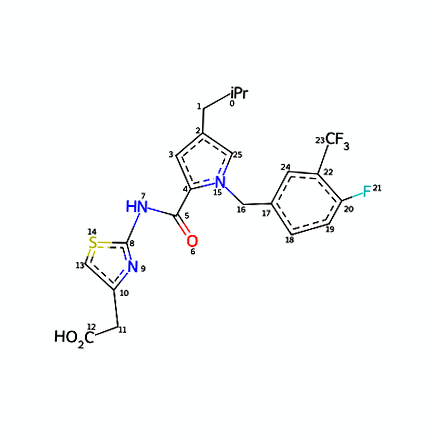 CC(C)Cc1cc(C(=O)Nc2nc(CC(=O)O)cs2)n(Cc2ccc(F)c(C(F)(F)F)c2)c1